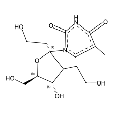 Cc1cn([C@]2(CCO)O[C@H](CO)[C@@H](O)C2CCO)c(=O)[nH]c1=O